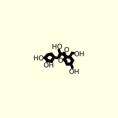 O=c1c(CO)c(-c2ccc(O)c(O)c2)oc2cc(CO)cc(CO)c12